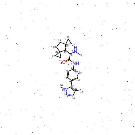 CNC(C(=O)Nc1ccc(-c2c(C)cnn2C)cn1)C1C2(CC2)CCC12CC2